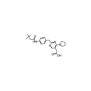 CC(C)(C)CC(=O)Nc1ccc(Cc2ncc(CC(=O)O)c(N3CCCC3)n2)cc1